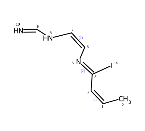 C\C=C/C(I)=N/C=C\NC=N